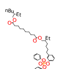 CCCCC(CC)COC(=O)CCCCCCCCC(=O)OCC(CC)CCCCc1cccc(OP(=O)(Oc2ccccc2)Oc2ccccc2)c1